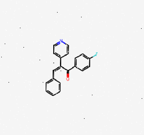 O=C(C(=Cc1ccccc1)c1ccncc1)c1ccc(F)cc1